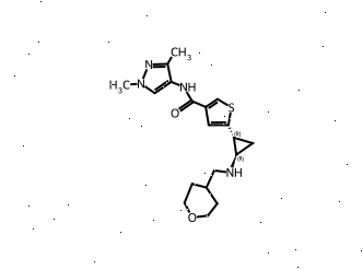 Cc1nn(C)cc1NC(=O)c1csc([C@@H]2C[C@H]2NCC2CCOCC2)c1